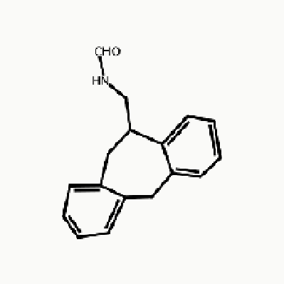 O=CNCC1Cc2ccccc2Cc2ccccc21